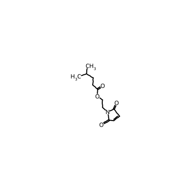 CC(C)CCC(=O)OCCN1C(=O)C=CC1=O